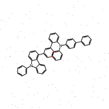 c1ccc(-c2ccc(N(c3ccccc3)c3ccccc3-c3cccc(-c4cccc5c4c4ccccc4n5-c4ccccc4)c3)cc2)cc1